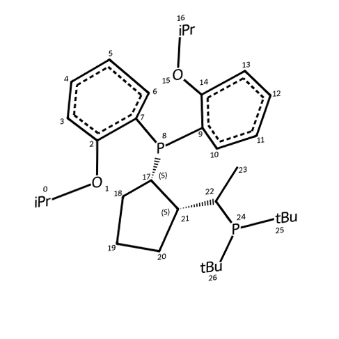 CC(C)Oc1ccccc1P(c1ccccc1OC(C)C)[C@H]1CCC[C@H]1C(C)P(C(C)(C)C)C(C)(C)C